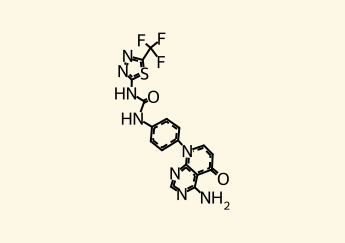 Nc1ncnc2c1c(=O)ccn2-c1ccc(NC(=O)Nc2nnc(C(F)(F)F)s2)cc1